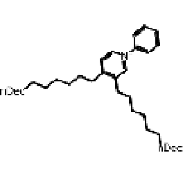 CCCCCCCCCCCCCCCCc1cc[n+](-c2ccccc2)cc1CCCCCCCCCCCCCCCC